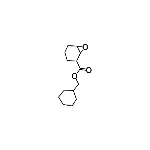 O=C(OCC1CCCCC1)C1CCCC2OC21